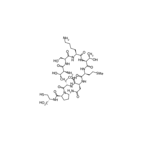 CSCC[C@H](NC(=O)[C@@H](NC(=O)[C@H](CCCCN)NC(=O)[C@H](CO)NC(=O)[C@@H](N)[C@@H](C)O)[C@@H](C)O)C(=O)N[C@@H](CC(N)=O)C(=O)N[C@@H](CC(=O)O)C(=O)N1CCC[C@H]1C(=O)N[C@@H](CS)C(=O)O